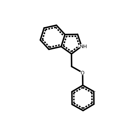 [c]1ccccc1OCc1[nH]cc2ccccc12